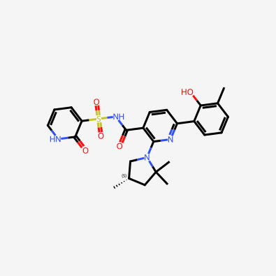 Cc1cccc(-c2ccc(C(=O)NS(=O)(=O)c3ccc[nH]c3=O)c(N3C[C@@H](C)CC3(C)C)n2)c1O